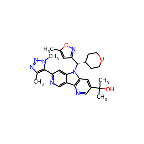 Cc1cc([C@H](C2CCOCC2)n2c3cc(-c4c(C)nnn4C)ncc3c3ncc(C(C)(C)O)cc32)no1